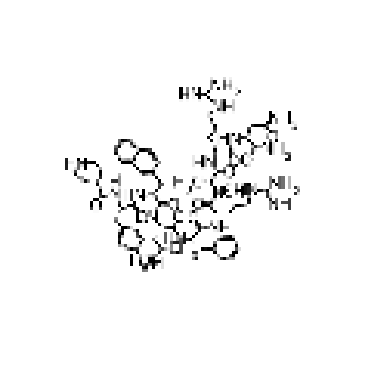 CC(C)C[C@H](NC(=O)[C@H](Cc1ccc2ccccc2c1)NC(=O)[C@H](Cc1ccc(O)cc1)NC(=O)C1CCNCC1)C(=O)N[C@@H](Cc1ccccc1)C(=O)N[C@@H](CCCNC(=N)N)C(=O)N(C)[C@@H](C)C(=O)N[C@@H](CCCNC(=N)N)C(=O)N[C@@H](CC(N)=O)C(N)=O